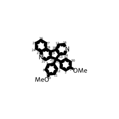 COc1ccc(C2(c3ccc(OC)cc3)c3cnccc3-c3c2cnc2ccccc32)cc1